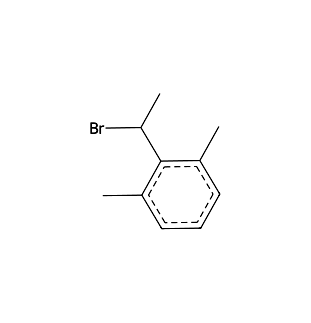 Cc1cccc(C)c1C(C)Br